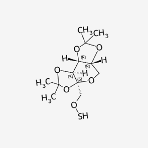 CC1(C)O[C@@H]2[C@@H](CO[C@@]3(COS)OC(C)(C)O[C@@H]23)O1